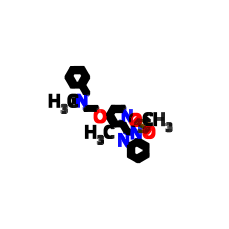 Cc1c(OCCN(C)Cc2ccccc2)ccnc1-c1nc2ccccc2n1S(C)(=O)=O